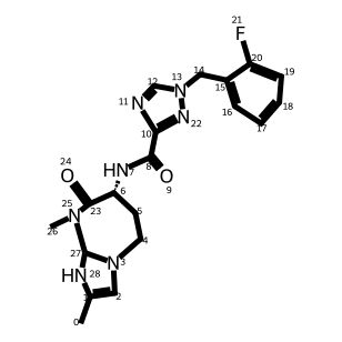 CC1=CN2CC[C@@H](NC(=O)c3ncn(Cc4ccccc4F)n3)C(=O)N(C)C2N1